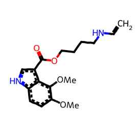 C=CNCCCCOC(=O)c1c[nH]c2ccc(OC)c(OC)c12